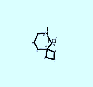 C1CNCC2(C1)CCC2.Cl